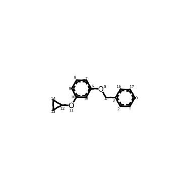 c1ccc(COc2cccc(OC3CC3)c2)cc1